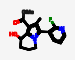 COC(=O)c1c(C)c(-c2cccnc2F)n2c1C(O)CCC2